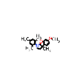 COc1ccc([C@]2(C)CCN(c3c(C)cc(C)cc3C)C2=O)cc1